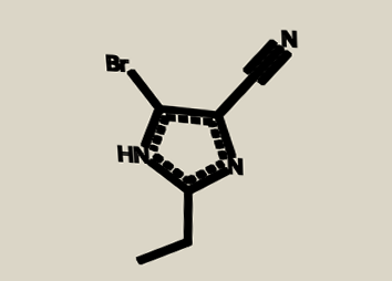 CCc1nc(C#N)c(Br)[nH]1